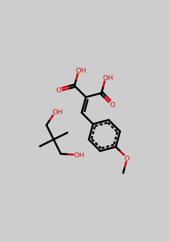 CC(C)(CO)CO.COc1ccc(C=C(C(=O)O)C(=O)O)cc1